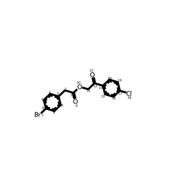 O=C([CH]c1ccc(Br)cc1)OCC(=O)c1ccc(Cl)cc1